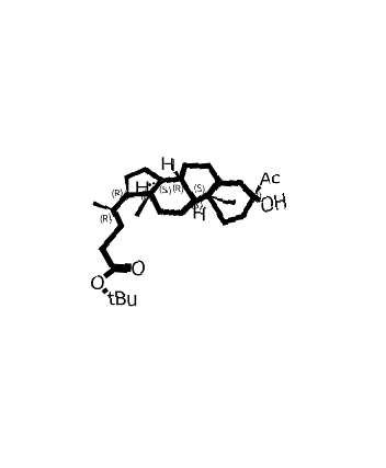 CC(=O)[C@@]1(O)CC[C@@]2(C)C(CC[C@H]3[C@@H]4CC[C@H]([C@H](C)CCC(=O)OC(C)(C)C)[C@@]4(C)CC[C@@H]32)C1